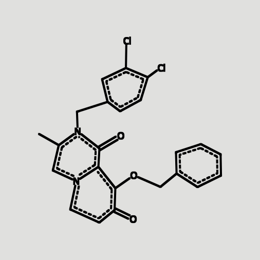 Cc1cn2ccc(=O)c(OCc3ccccc3)c2c(=O)n1Cc1ccc(Cl)c(Cl)c1